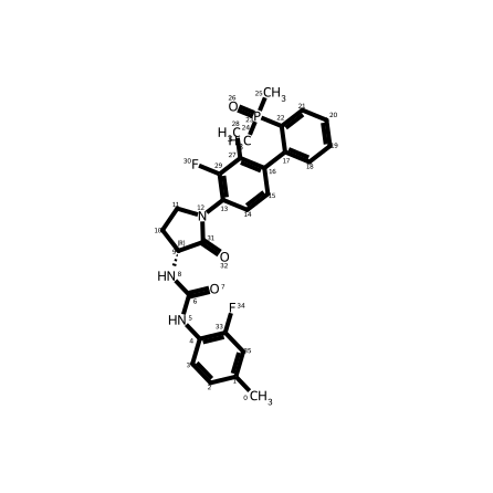 Cc1ccc(NC(=O)N[C@@H]2CCN(c3ccc(-c4ccccc4P(C)(C)=O)c(C)c3F)C2=O)c(F)c1